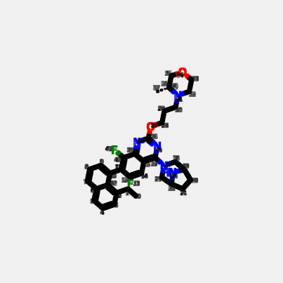 CCc1cccc2cccc(-c3c(F)cc4c(N5CC6CCC(C5)N6)nc(OCCCN5CCOC[C@H]5C)nc4c3F)c12